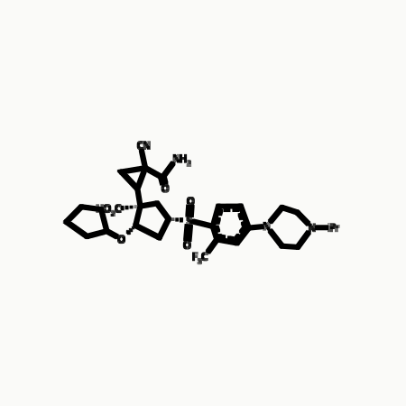 CC(C)N1CCN(c2ccc(S(=O)(=O)[C@@H]3C[C@H](OC4CCCC4)[C@@](C(=O)O)(C4CC4(C#N)C(N)=O)C3)c(C(F)(F)F)c2)CC1